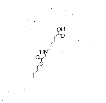 CCCCOC(=O)CNCCCCC(=O)O